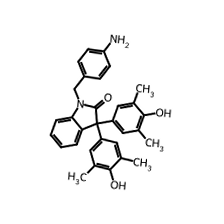 Cc1cc(C2(c3cc(C)c(O)c(C)c3)C(=O)N(Cc3ccc(N)cc3)c3ccccc32)cc(C)c1O